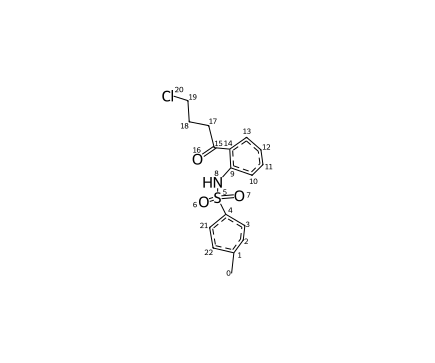 Cc1ccc(S(=O)(=O)Nc2ccccc2C(=O)CCCCl)cc1